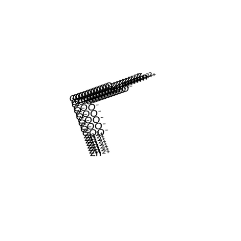 O=C([O-])[O-].O=C([O-])[O-].O=C([O-])[O-].O=C([O-])[O-].O=C([O-])[O-].O=C([O-])[O-].O=C([O-])[O-].O=C([O-])[O-].O=C([O-])[O-].O=C([O-])[O-].O=C([O-])[O-].O=C([O-])[O-].O=C([O-])[O-].O=C([O-])[O-].O=C([O-])[O-].O=C([O-])[O-].O=C([O-])[O-].O=C([O-])[O-].[Zn+2].[Zn+2].[Zn+2].[Zn+2].[Zn+2].[Zn+2].[Zn+2].[Zn+2].[Zn+2].[Zn+2].[Zn+2].[Zn+2].[Zn+2].[Zn+2].[Zn+2].[Zn+2].[Zn+2].[Zn+2]